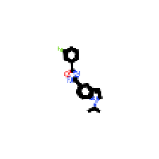 CC(C)n1ccc2cc(-c3noc(-c4cccc(F)c4)n3)ccc21